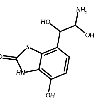 NC(O)C(O)c1ccc(O)c2[nH]c(=O)sc12